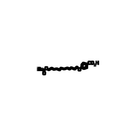 CCC(C)C(=O)OCCCCCCCCCCCCOc1ccc(C(=O)O)cc1